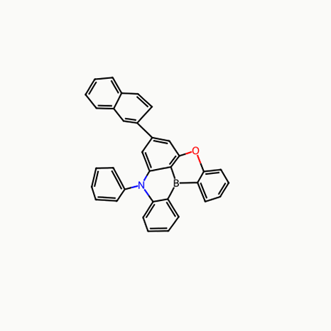 c1ccc(N2c3ccccc3B3c4ccccc4Oc4cc(-c5ccc6ccccc6c5)cc2c43)cc1